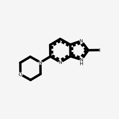 Ic1nc2ccc(N3CCOCC3)nc2[nH]1